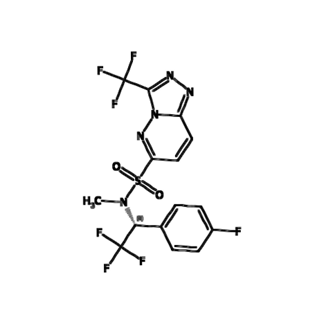 CN([C@H](c1ccc(F)cc1)C(F)(F)F)S(=O)(=O)c1ccc2nnc(C(F)(F)F)n2n1